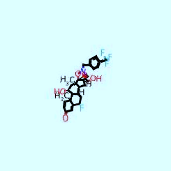 C[C@]12C=CC(=O)C=C1[C@@H](F)C[C@@H]1C2[C@@H](O)C[C@@]2(C)C1C[C@H]1CN(Cc3ccc(C(F)(F)F)cc3)O[C@]12C(=O)CO